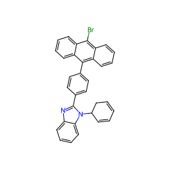 Brc1c2ccccc2c(-c2ccc(-c3nc4ccccc4n3C3C=CC=CC3)cc2)c2ccccc12